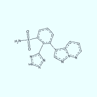 NS(=O)(=O)c1cccc(-c2cnn3ncccc23)c1-c1nn[nH]n1